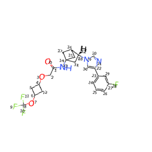 O=C(COC1CC(OC(F)(F)F)C1)NC12CC(C1)[C@H](n1cnc(-c3cccc(F)c3)c1)C2